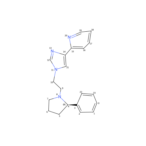 c1ccc([C@H]2CCCN2CCn2cnc(-c3ccccn3)c2)cc1